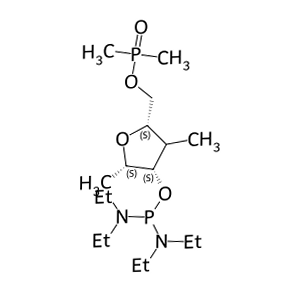 CCN(CC)P(O[C@H]1C(C)[C@@H](COP(C)(C)=O)O[C@H]1C)N(CC)CC